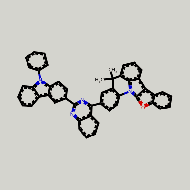 CC1(C)c2cc(-c3nc(-c4ccc5c(c4)c4ccccc4n5-c4ccccc4)nc4ccccc34)ccc2-n2c3oc4ccccc4c3c3cccc1c32